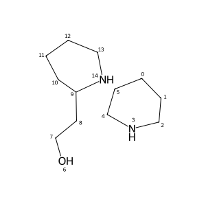 C1CCNCC1.OCCC1CCCCN1